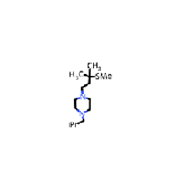 CSC(C)(C)CCN1CCN(CC(C)C)CC1